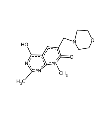 Cc1nc(O)c2cc(CN3CCOCC3)c(=O)n(C)c2n1